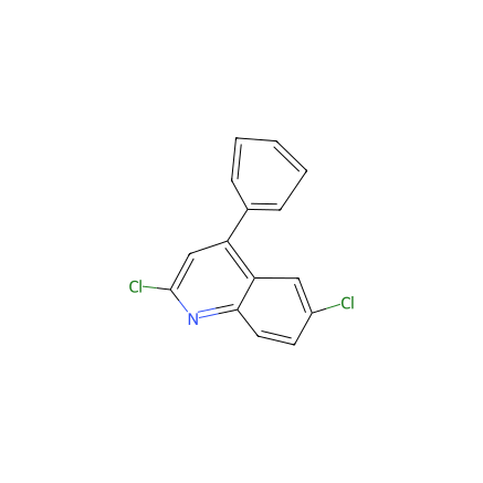 Clc1ccc2nc(Cl)cc(-c3ccccc3)c2c1